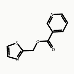 O=C(OCc1nccs1)c1cccnc1